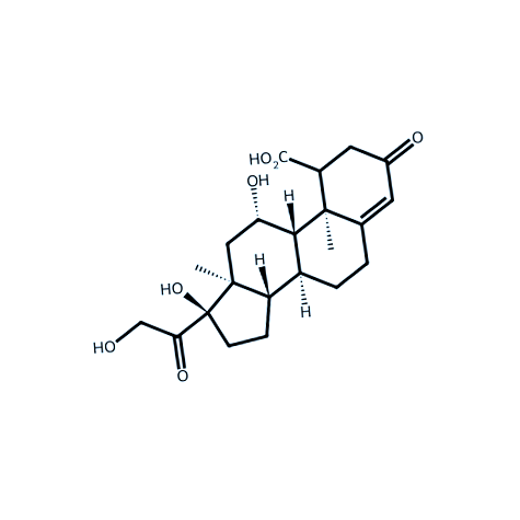 C[C@]12C[C@H](O)[C@H]3[C@@H](CCC4=CC(=O)CC(C(=O)O)[C@@]43C)[C@@H]1CC[C@]2(O)C(=O)CO